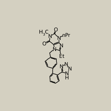 CCCn1c(=O)n(C)c(=O)c2c1nc(CC)n2Cc1ccc(-c2ccccc2-c2nnn[nH]2)cc1